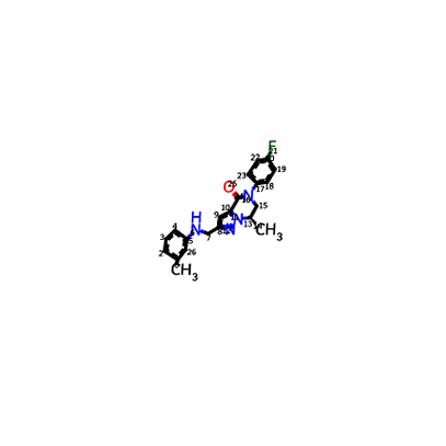 Cc1cccc(NCc2cc3n(n2)[C@H](C)CN(c2ccc(F)cc2)C3=O)c1